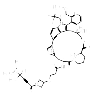 CO[C@@H](C)c1ncccc1-c1c2c3cc(ccc3n1CC(F)(F)F)-c1csc(n1)C[C@H](NC(=O)CCOC1CN(C(=O)C#CC(C)(C)N(C)C)C1)C(=O)N1CCCC(C=O)(COCC(C)(C)C2)N1